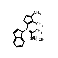 CC1=CC[C]([Zr](=[C](C)C)[CH]2C=Cc3ccccc32)=C1C.Cl.Cl